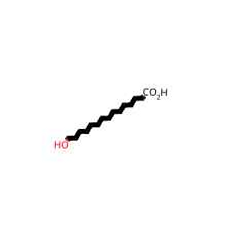 O=C(O)[CH]CCCCCCCCCCCC[CH]O